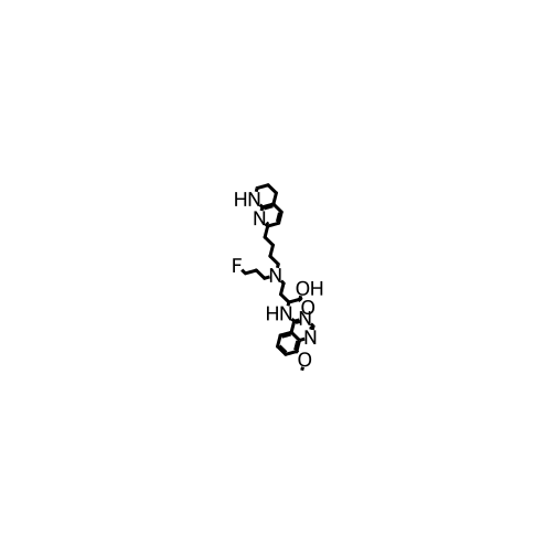 COc1cccc2c(NC(CCN(CCCF)CCCCc3ccc4c(n3)NCCC4)C(=O)O)ncnc12